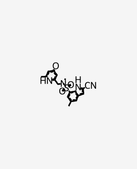 Cc1cc(S(=O)(=O)N(C)Cc2cc(=O)cc(C)[nH]2)c2[nH]c(C#N)cc2c1